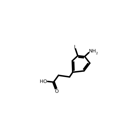 Nc1ccc(CCC(=O)O)cc1I